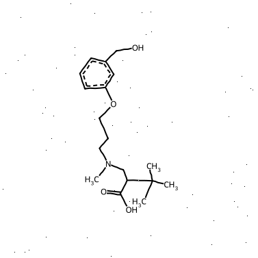 CN(CCCOc1cccc(CO)c1)CC(C(=O)O)C(C)(C)C